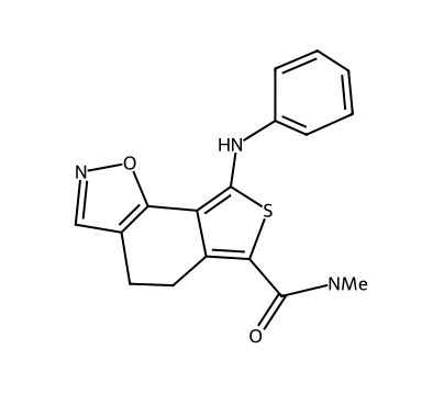 CNC(=O)c1sc(Nc2ccccc2)c2c1CCc1cnoc1-2